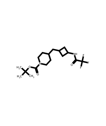 CC(C)(C)OC(=O)N1CCC(CC2CC(NC(=O)C(F)(F)F)C2)CC1